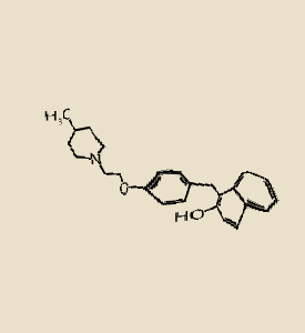 CC1CCN(CCOc2ccc(Cc3c(O)ccc4ccccc34)cc2)CC1